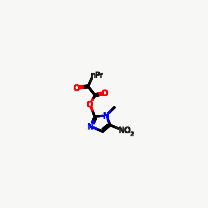 CCCC(=O)C(=O)Oc1ncc([N+](=O)[O-])n1C